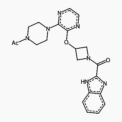 CC(=O)N1CCN(c2nccnc2OC2CN(C(=O)c3nc4ccccc4[nH]3)C2)CC1